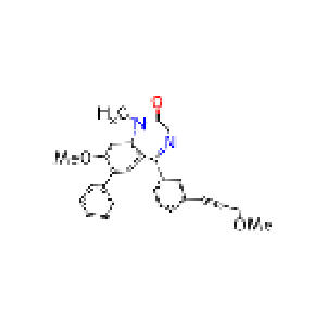 COCC#Cc1cccc(C2=NCC(=O)N(C)c3cc(OC)c(-c4ccccc4)cc32)c1